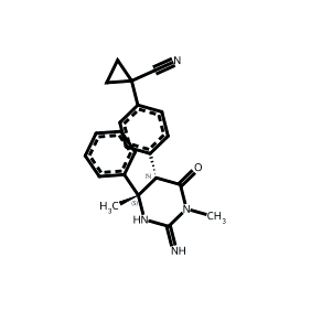 CN1C(=N)N[C@](C)(c2ccccc2)[C@H](c2ccc(C3(C#N)CC3)cc2)C1=O